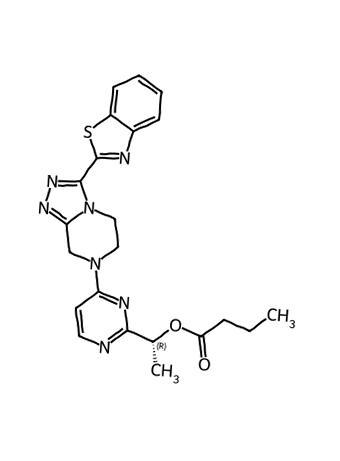 CCCC(=O)O[C@H](C)c1nccc(N2CCn3c(nnc3-c3nc4ccccc4s3)C2)n1